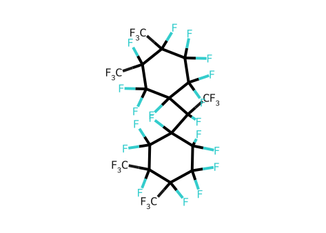 FC(F)(F)C1(F)C(F)(F)C(F)(F)C(F)(C(F)(C(F)(F)F)C2(F)C(F)(F)C(F)(F)C(F)(C(F)(F)F)C(F)(C(F)(F)F)C2(F)F)C(F)(F)C1(F)C(F)(F)F